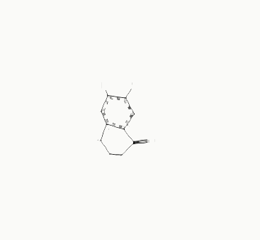 Cc1cc2c(cc1F)CCCC2=O